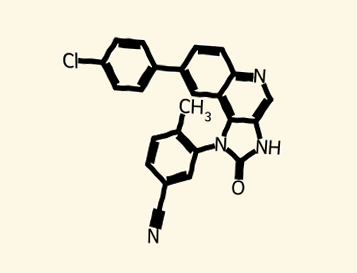 Cc1ccc(C#N)cc1-n1c(=O)[nH]c2cnc3ccc(-c4ccc(Cl)cc4)cc3c21